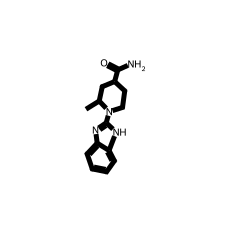 CC1CC(C(N)=O)CCN1c1nc2ccccc2[nH]1